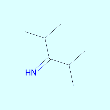 CC(C)C(=N)C(C)C